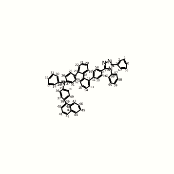 c1ccc(-c2nnc(-c3ccc(-c4ccccc4-c4ccccc4-c4ccc(N(c5ccccc5)c5ccc(-c6cccc7ccccc67)cc5)cc4)cc3)n2-c2ccccc2)cc1